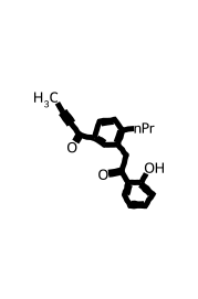 CC#CC(=O)c1ccc(CCC)c(CC(=O)c2ccccc2O)c1